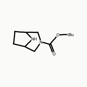 CC(C)(C)OC(=O)N1CC2CCC(C1)N2